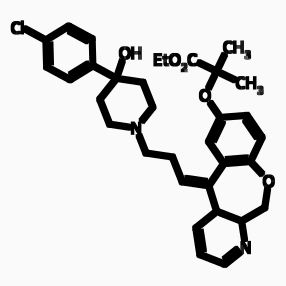 CCOC(=O)C(C)(C)Oc1ccc2c(c1)C(=CCCN1CCC(O)(c3ccc(Cl)cc3)CC1)C1C=CC=NC1CO2